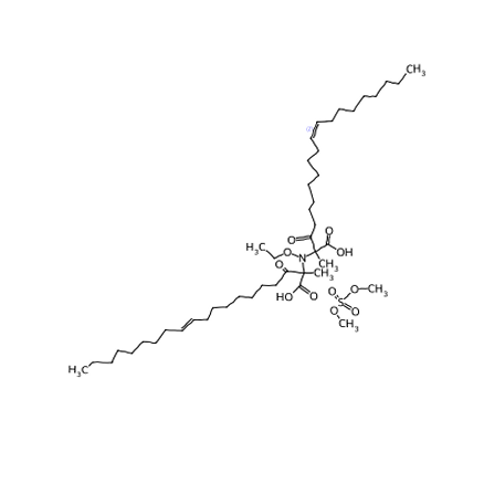 CCCCCCCCC=CCCCCCCCC(=O)C(C)(C(=O)O)N(OCC)C(C)(C(=O)O)C(=O)CCCCCCC/C=C\CCCCCCCC.COS(=O)(=O)OC